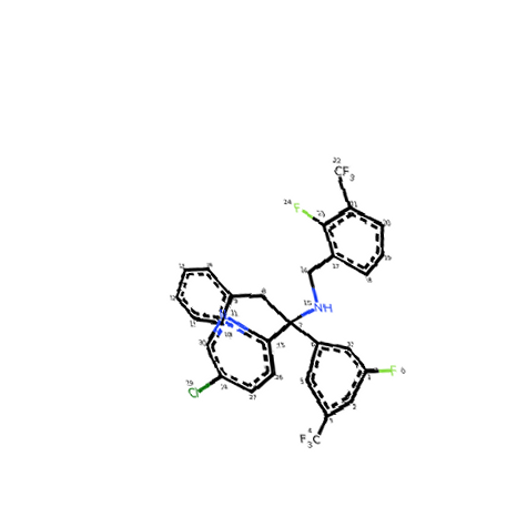 Fc1cc(C(F)(F)F)cc(C(Cc2ccccc2)(NCc2cccc(C(F)(F)F)c2F)c2ccc(Cl)cn2)c1